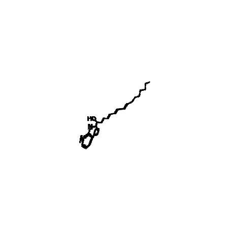 CCCCCCCCCCCCCCCC(O)c1nc2ncccc2o1